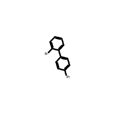 CC(C)c1ccc(-c2ccccc2Br)cc1